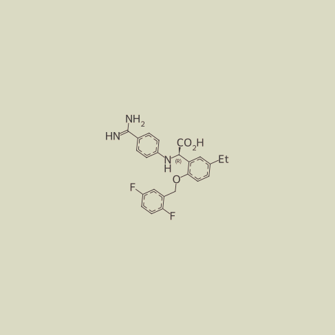 CCc1ccc(OCc2cc(F)ccc2F)c([C@@H](Nc2ccc(C(=N)N)cc2)C(=O)O)c1